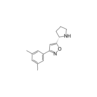 Cc1cc(C)cc(-c2cc([C@@H]3CCCN3)on2)c1